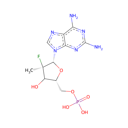 C[C@@]1(F)C(O)[C@@H](COP(=O)(O)O)O[C@H]1n1cnc2c(N)nc(N)nc21